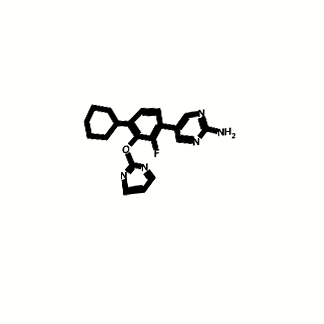 Nc1ncc(-c2ccc(C3CCCCC3)c(Oc3ncccn3)c2F)cn1